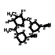 Cc1c(F)c(Oc2cccc(C#N)c2)nc(N(C)c2cccc(C#N)c2)c1F